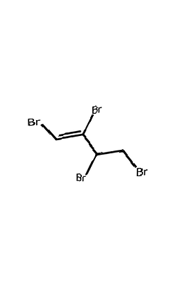 BrC=C(Br)C(Br)CBr